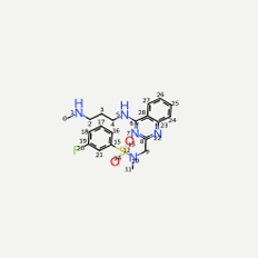 CNCCCNc1nc(CN(C)S(=O)(=O)c2cccc(F)c2)nc2ccccc12